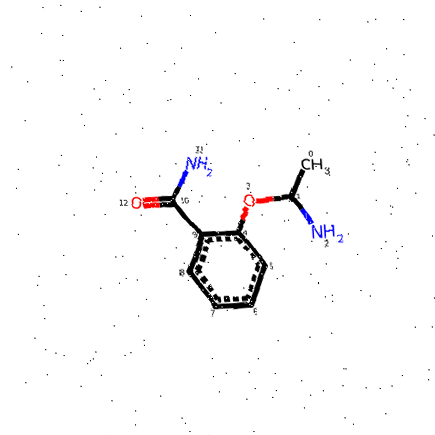 CC(N)Oc1ccccc1C(N)=O